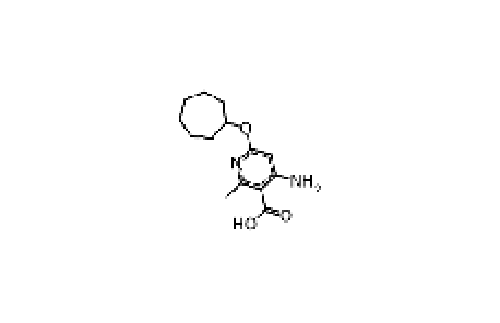 Cc1nc(OC2CCCCCC2)cc(N)c1C(=O)O